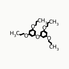 CCCOc1cc(OCCC)cc(Oc2cc(OCCC)cc(OCCC)c2)c1